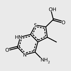 Cc1c(C(=O)O)sc2[nH]c(=O)nc(N)c12